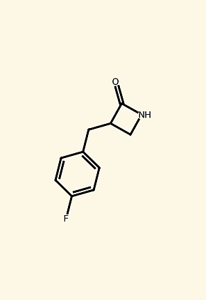 O=C1NCC1Cc1ccc(F)cc1